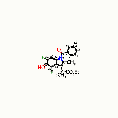 CCOC(=O)[C@H](C)c1c(C)n(C(=O)c2cccc(Cl)c2)c2cc(F)c(O)c(F)c12